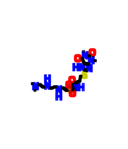 CN(C)CCNCCNCCS(=O)(=O)NC(=O)CCSc1nc2c([nH]1)c(=O)n(C)c(=O)n2C